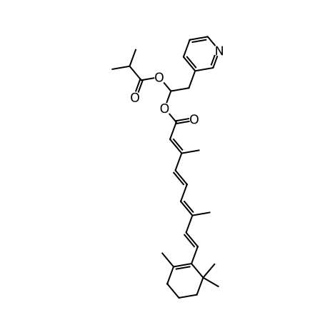 CC1=C(/C=C/C(C)=C/C=C/C(C)=C/C(=O)OC(Cc2cccnc2)OC(=O)C(C)C)C(C)(C)CCC1